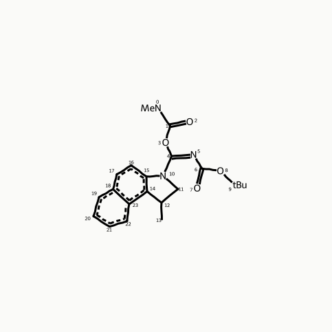 CNC(=O)OC(=NC(=O)OC(C)(C)C)N1CC(C)c2c1ccc1ccccc21